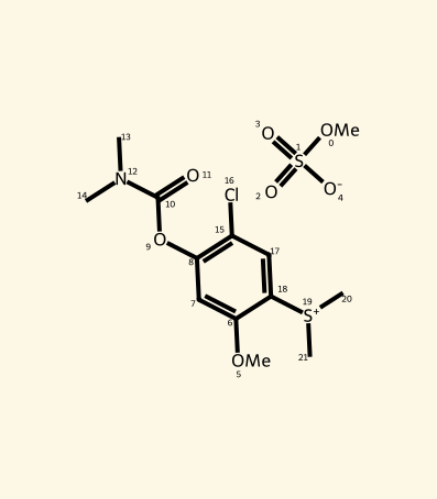 COS(=O)(=O)[O-].COc1cc(OC(=O)N(C)C)c(Cl)cc1[S+](C)C